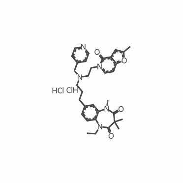 CCN1C(=O)C(C)(C)C(=O)N(C)c2cc(CCCN(CCn3ccc4oc(C)cc4c3=O)Cc3ccncc3)ccc21.Cl.Cl